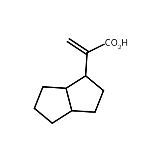 C=C(C(=O)O)C1CCC2CCCC21